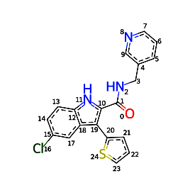 O=C(NCc1cccnc1)c1[nH]c2ccc(Cl)cc2c1-c1cccs1